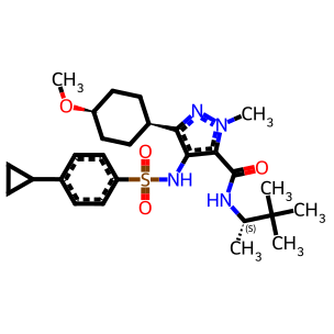 CO[C@H]1CC[C@@H](c2nn(C)c(C(=O)N[C@@H](C)C(C)(C)C)c2NS(=O)(=O)c2ccc(C3CC3)cc2)CC1